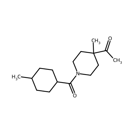 CC(=O)C1(C)CCN(C(=O)C2CCC(C)CC2)CC1